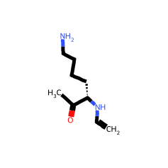 C=CN[C@@H](CCCCN)C(C)=O